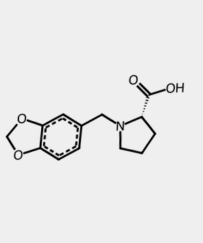 O=C(O)[C@@H]1CCCN1Cc1ccc2c(c1)OCO2